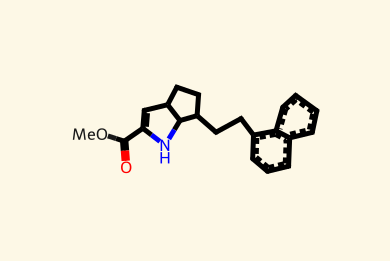 COC(=O)C1=CC2CCC(CCc3cccc4ccccc34)C2N1